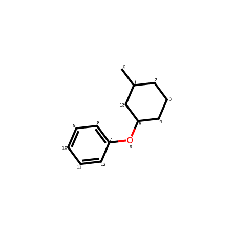 CC1CCCC(Oc2ccccc2)C1